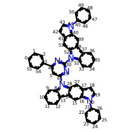 c1ccc(-c2cc(-n3c4ccccc4c4cc5c(ccn5-c5ccccc5)cc43)nc(-n3c4ccccc4c4cc5c(ccn5-c5ccccc5)cc43)n2)cc1